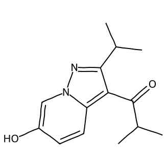 CC(C)C(=O)c1c(C(C)C)nn2cc(O)ccc12